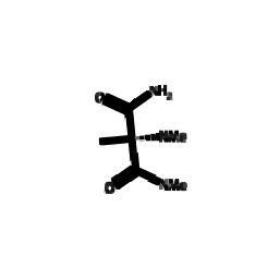 CNC(=O)[C@](C)(NC)C(N)=O